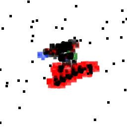 CC1=C(O)C(=O)C=C2C1=CC=C1[C@@]2(C)CC[C@]2(C)[C@@H]3C[C@@H](C)C(=O)C[C@]3(C)CC[C@@]12C.NC(=O)NO.O=C(O)c1nn(Cc2ccc(Cl)cc2Cl)c2ccccc12.O=[N+]([O-])O.OC[C@H]1O[C@@H](OC[C@H]2O[C@@H](O)[C@H](O)[C@@H](O[C@@H]3O[C@H](CO)[C@@H](O)[C@H](O[C@@H]4O[C@H](CO)[C@@H](O)[C@H](O[C@@H]5O[C@H](CO[C@@H]6O[C@H](CO)[C@@H](O)[C@H](O)[C@H]6O)[C@@H](O)[C@H](O[C@@H]6O[C@H](CO)[C@@H](O)[C@H](O)[C@H]6O)[C@H]5O)[C@H]4O)[C@H]3O)[C@@H]2O)[C@H](O)[C@@H](O)[C@@H]1O